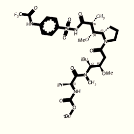 CCC(C)[C@@H]([C@@H](CC(=O)N1CCC[C@H]1[C@H](OC)[C@@H](C)C(=O)NS(=O)(=O)c1ccc(NC(=O)C(F)(F)F)cc1)OC)N(C)C(=O)[C@@H](NC(=O)OC(C)(C)C)C(C)C